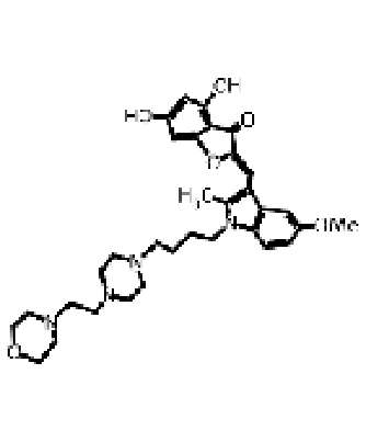 COc1ccc2c(c1)c(/C=C1\Oc3cc(O)cc(O)c3C1=O)c(C)n2CCCCN1CCN(CCN2CCOCC2)CC1